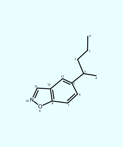 CCCC(C)c1ccc2oncc2c1